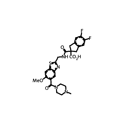 COc1cc2sc(CNC(=O)C3(C(=O)O)Cc4cc(F)c(F)cc4C3)nc2cc1C(=O)N1CCN(C)CC1